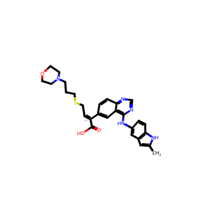 Cc1cc2cc(Nc3ncnc4ccc(/C(=C\CSCCCN5CCOCC5)C(=O)O)cc34)ccc2[nH]1